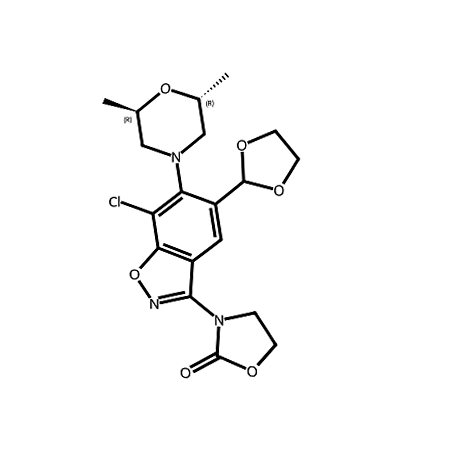 C[C@@H]1CN(c2c(C3OCCO3)cc3c(N4CCOC4=O)noc3c2Cl)C[C@@H](C)O1